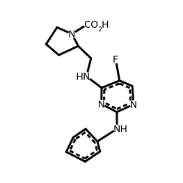 O=C(O)N1CCCC1CNc1nc(Nc2ccccc2)ncc1F